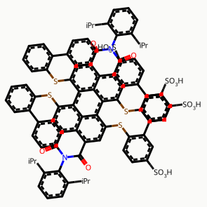 CC(C)c1cccc(C(C)C)c1N1C(=O)c2cc(Sc3ccccc3-c3ccccc3)c3c4c(Sc5ccccc5-c5ccccc5)cc5c6c(cc(Sc7ccc(S(=O)(=O)O)cc7-c7ccc(S(=O)(=O)O)cc7)c(c7c(Sc8ccc(S(=O)(=O)O)cc8-c8ccc(S(=O)(=O)O)cc8)cc(c2c37)C1=O)c64)C(=O)N(c1c(C(C)C)cccc1C(C)C)C5=O